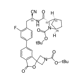 CC(C)(C)OC(=O)N1CC2(C1)OC(=O)c1ccc(-c3ccc(C[C@@H](C#N)NC(=O)[C@@H]4[C@H]5CC[C@H](C5)N4C(=O)OC(C)(C)C)c(F)c3)cc12